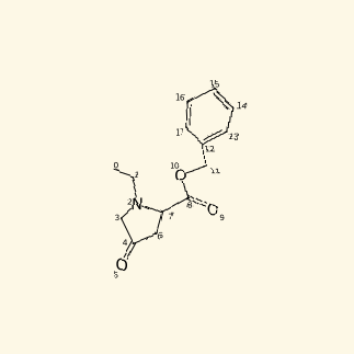 CCN1CC(=O)CC1C(=O)OCc1ccccc1